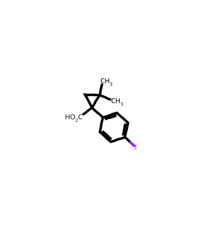 CC1(C)CC1(C(=O)O)c1ccc(I)cc1